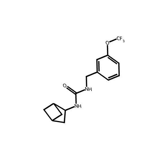 O=C(NCc1cccc(OC(F)(F)F)c1)NC1CC2CC1C2